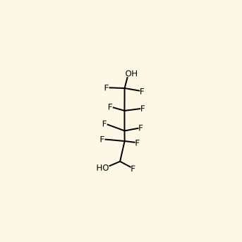 OC(F)C(F)(F)C(F)(F)C(F)(F)C(O)(F)F